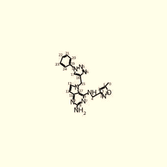 Cc1cc(CNc2nc(N)nc3ccn(Cc4cn(-c5ccccc5)nn4)c23)no1